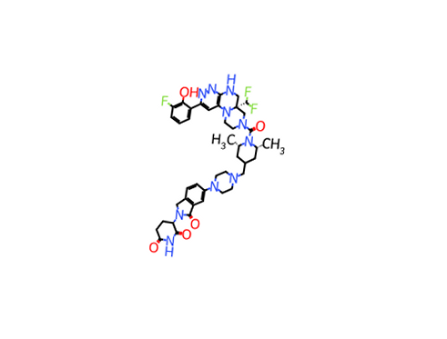 C[C@@H]1CC(CN2CCN(c3ccc4c(c3)C(=O)N([C@@H]3CCC(=O)NC3=O)C4)CC2)C[C@H](C)N1C(=O)N1CCN2c3cc(-c4cccc(F)c4O)nnc3NC[C@@]2(C(F)F)C1